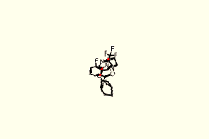 O=C(c1cccc(F)c1-n1nccn1)N1C2CCC1C(Oc1ccc(C(F)(F)F)nc1)C2